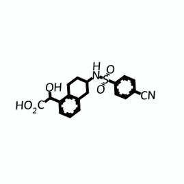 N#Cc1ccc(S(=O)(=O)NC2CCc3c(cccc3C(O)C(=O)O)C2)cc1